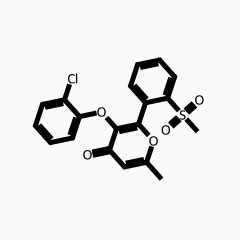 Cc1cc(=O)c(Oc2ccccc2Cl)c(-c2ccccc2S(C)(=O)=O)o1